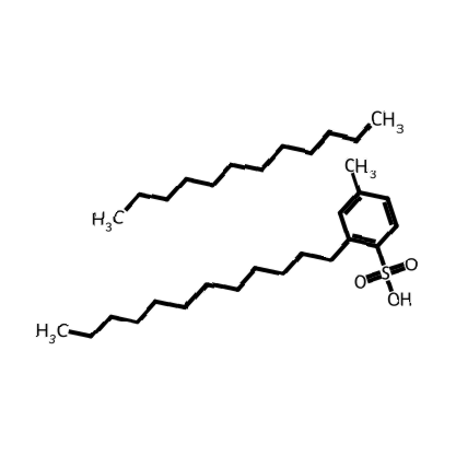 CCCCCCCCCCCC.CCCCCCCCCCCCc1cc(C)ccc1S(=O)(=O)O